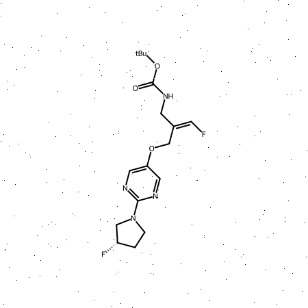 CC(C)(C)OC(=O)NC/C(=C/F)COc1cnc(N2CC[C@H](F)C2)nc1